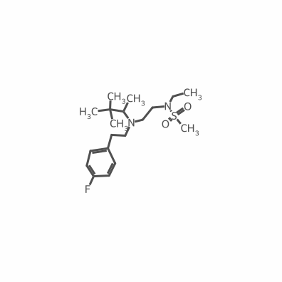 CCN(CCN(CCc1ccc(F)cc1)C(C)C(C)(C)C)S(C)(=O)=O